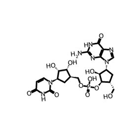 Nc1nc2c(ncn2[C@@H]2C[C@H](CO)[C@@H](OP(=O)(O)OC[C@H]3C[C@@H](n4ccc(=O)[nH]c4=O)[C@H](O)[C@@H]3O)[C@H]2O)c(=O)[nH]1